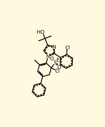 CCS(=O)(=O)C1(Cl)CC(c2ccccc2)=CC(C)=C1n1cc(C(C)(C)O)nc1-c1ccccc1Cl